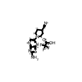 N#CC1CCN(c2cnc3nc(N)sc3n2)CC1.O=C(O)C(F)(F)F